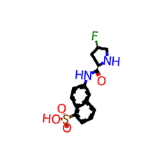 O=C(Nc1ccc2c(S(=O)(=O)O)cccc2c1)[C@@H]1C[C@@H](F)CN1